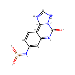 O=c1nc2cc(N=S(=O)=O)ccc2c2nc[nH]n12